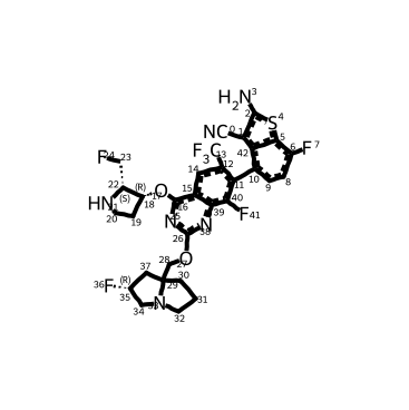 N#Cc1c(N)sc2c(F)ccc(-c3c(C(F)(F)F)cc4c(O[C@@H]5CCN[C@@H]5CF)nc(OCC56CCCN5C[C@H](F)C6)nc4c3F)c12